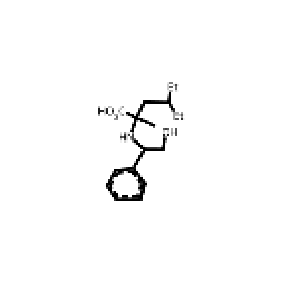 CCC(CC)CC(C)(NC(CO)c1ccccc1)C(=O)O